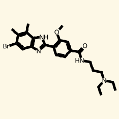 CCN(CC)CCCNC(=O)c1ccc(-c2nc3cc(Br)c(C)c(C)c3[nH]2)c(OC)c1